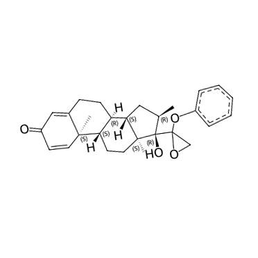 C[C@@H]1C[C@H]2[C@@H]3CCC4=CC(=O)C=C[C@]4(C)[C@H]3CC[C@]2(C)[C@@]1(O)C1(Oc2ccccc2)CO1